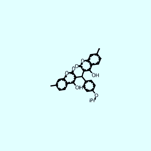 Cc1ccc2c(O)c(C(c3ccc(OC(C)C)cc3)c3c(O)c4ccc(C)cc4oc3=O)c(=O)oc2c1